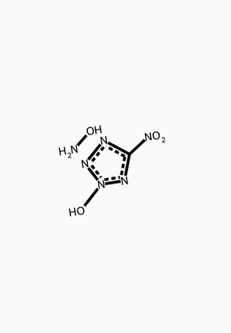 NO.O=[N+]([O-])c1nnn(O)n1